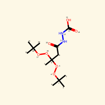 CC(C)(C)OOC(C)(CC(=O)NNC(=O)O)OOC(C)(C)C